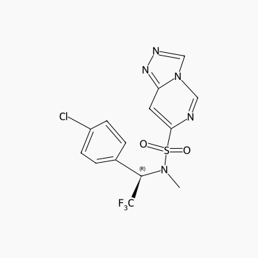 CN([C@H](c1ccc(Cl)cc1)C(F)(F)F)S(=O)(=O)c1cc2nncn2cn1